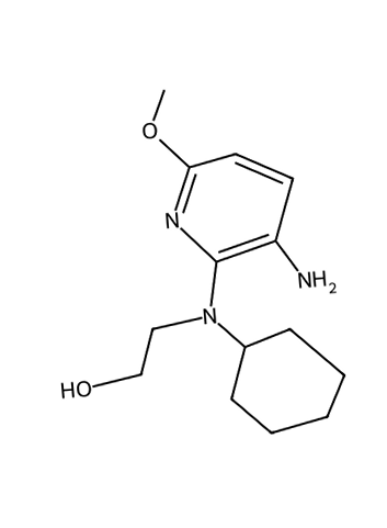 COc1ccc(N)c(N(CCO)C2CCCCC2)n1